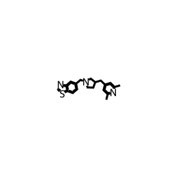 Cc1cc(CC2CCN(Cc3ccc4scnc4c3)C2)cc(C)n1